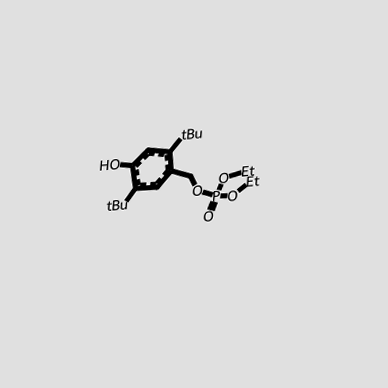 CCOP(=O)(OCC)OCc1cc(C(C)(C)C)c(O)cc1C(C)(C)C